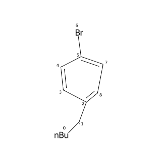 CCCC[CH]c1ccc(Br)cc1